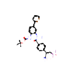 CC(C)(C)OC(=O)Nc1ccc(-c2cccs2)cc1NC(=O)c1ccc(C(C#N)C[PH](=O)O)cc1